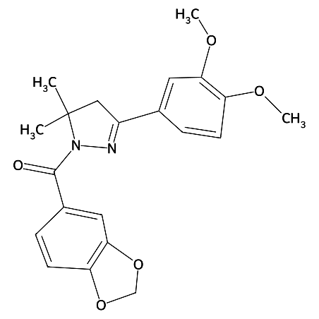 COc1ccc(C2=NN(C(=O)c3ccc4c(c3)OCO4)C(C)(C)C2)cc1OC